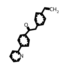 C=Cc1ccc(CC(=O)c2ccc(-c3ccccn3)cc2)cc1